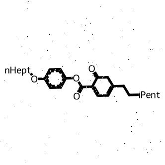 CCCCCCCOc1ccc(OC(=O)C2=CC=C(CCC(C)CCC)CC2=O)cc1